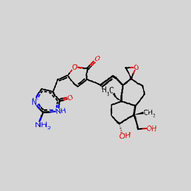 C[C@]12CC[C@@H](O)[C@@](C)(CO)C1CCC1(CO1)C2/C=C/C1=CC(=C\c2cnc(N)[nH]c2=O)/OC1=O